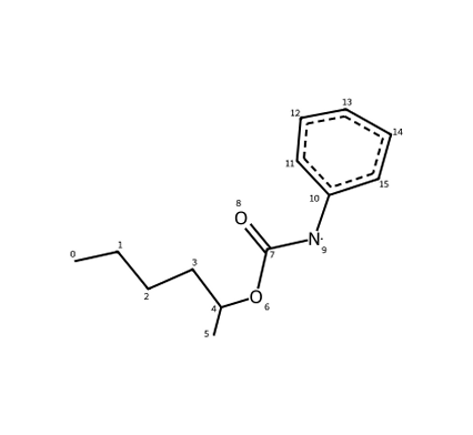 CCCCC(C)OC(=O)[N]c1ccccc1